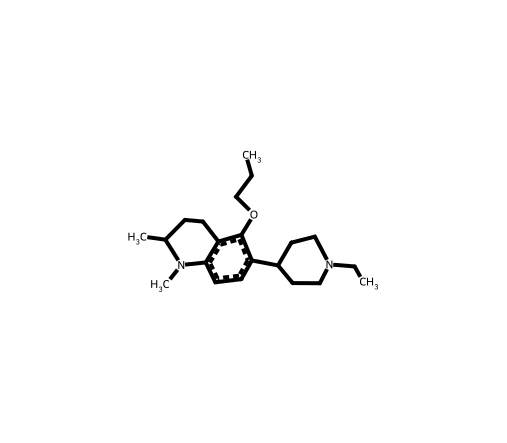 CCCOc1c(C2CCN(CC)CC2)ccc2c1CCC(C)N2C